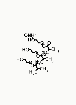 C=C(C)C(=O)OOCCO.C=C(C)C(=O)OOCCO.C=C(C)C(=O)OOCCO.O=[NH+][O-]